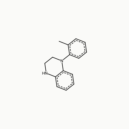 Cc1ccccc1N1CCNc2ccccc21